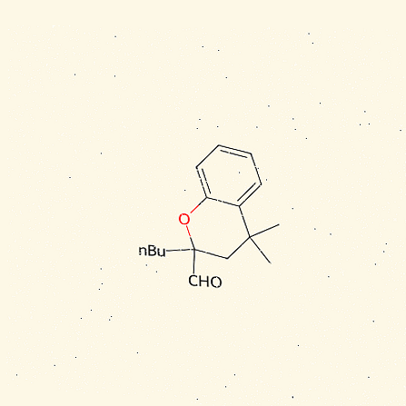 CCCCC1(C=O)CC(C)(C)c2ccccc2O1